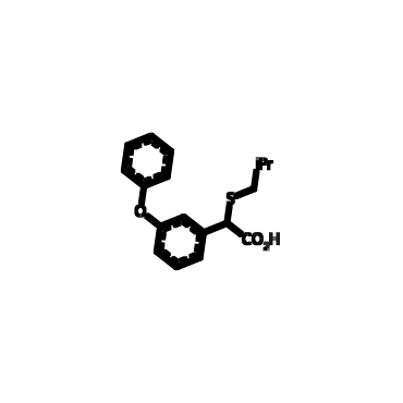 CC(C)CSC(C(=O)O)c1cccc(Oc2ccccc2)c1